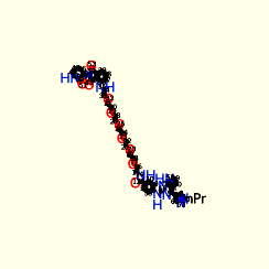 CCCn1cc(-c2nc(Nc3ccc(C(=O)NCCOCCOCCOCCOCCOCCOCCNc4cccc5c4C(=O)N(C4CCCNC4=O)C5=O)cc3)nc3[nH]ccc23)cn1